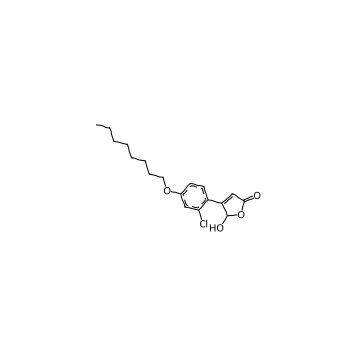 CCCCCCCCOc1ccc(C2=CC(=O)OC2O)c(Cl)c1